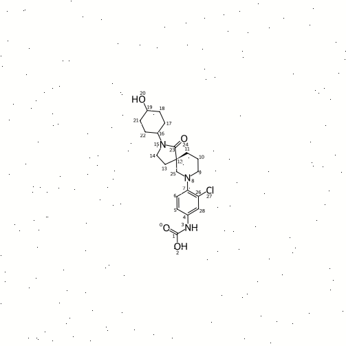 O=C(O)Nc1ccc(N2CCC[C@]3(CCN(C4CCC(O)CC4)C3=O)C2)c(Cl)c1